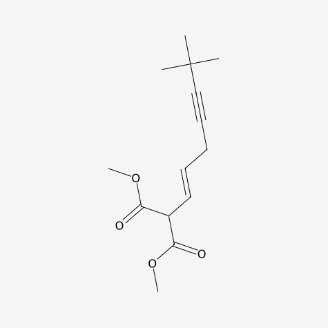 COC(=O)C(C=CCC#CC(C)(C)C)C(=O)OC